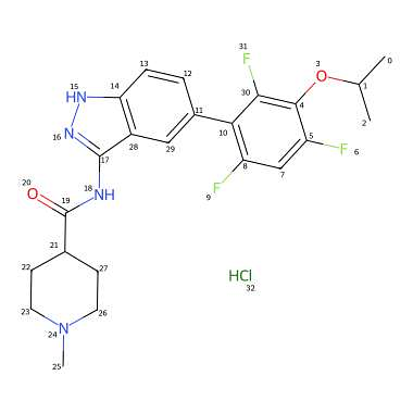 CC(C)Oc1c(F)cc(F)c(-c2ccc3[nH]nc(NC(=O)C4CCN(C)CC4)c3c2)c1F.Cl